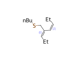 CC/C=C\C(=C/CC)CSCCCC